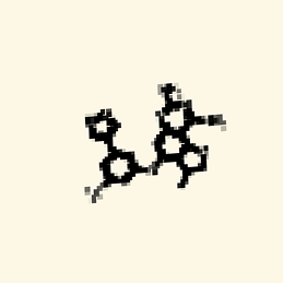 CC1COc2c1c(Oc1cc(-c3cnoc3)cc(C(F)(F)F)c1)cc1nc(N)nc(N)c21